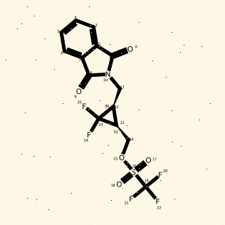 O=C1c2ccccc2C(=O)N1C[C@H]1[C@@H](COS(=O)(=O)C(F)(F)F)C1(F)F